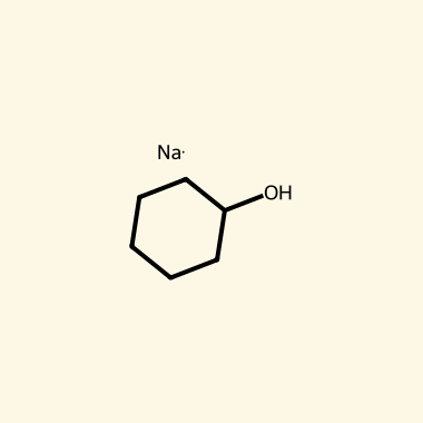 OC1CCCCC1.[Na]